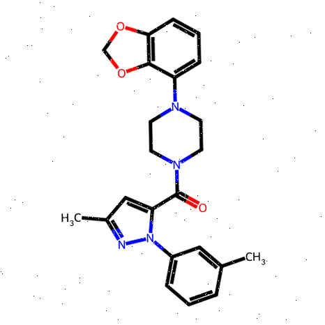 Cc1cccc(-n2nc(C)cc2C(=O)N2CCN(c3cccc4c3OCO4)CC2)c1